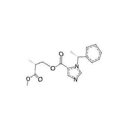 COC(=O)[C@H](C)COC(=O)c1cncn1[C@H](C)c1ccccc1